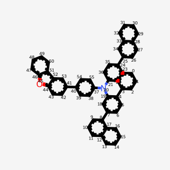 c1ccc(-c2ccc(-c3cccc4ccccc34)cc2N(c2ccc(-c3ccc4ccccc4c3)cc2)c2ccc(-c3ccc4oc5ccccc5c4c3)cc2)cc1